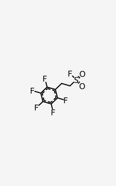 O=S(=O)(F)CCc1c(F)c(F)c(F)c(F)c1F